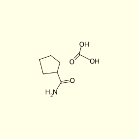 NC(=O)C1CCCC1.O=C(O)O